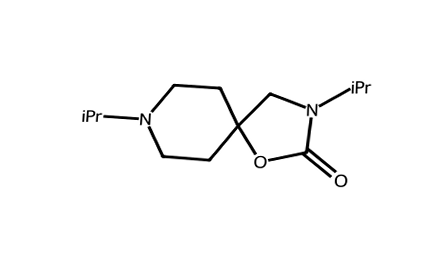 CC(C)N1CCC2(CC1)CN(C(C)C)C(=O)O2